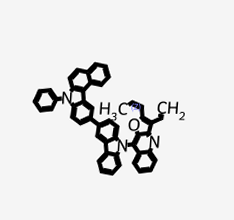 C=Cc1c(/C=C\C)oc2c(-n3c4ccccc4c4cc(-c5ccc6c(c5)c5c7ccccc7ccc5n6-c5ccccc5)ccc43)c3ccccc3nc12